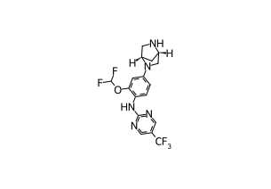 FC(F)Oc1cc(N2C[C@@H]3C[C@H]2CN3)ccc1Nc1ncc(C(F)(F)F)cn1